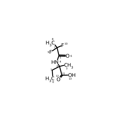 CCC(C)(NC(=O)C(C)(F)F)C(=O)O